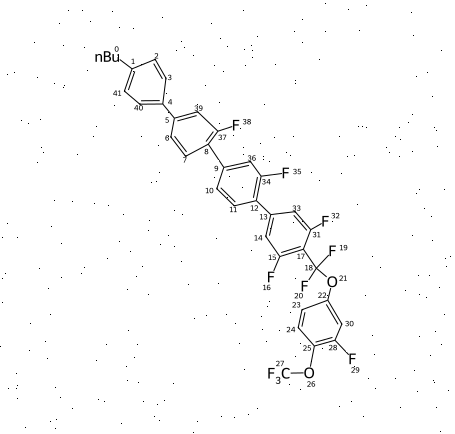 CCCCc1ccc(-c2ccc(-c3ccc(-c4cc(F)c(C(F)(F)Oc5ccc(OC(F)(F)F)c(F)c5)c(F)c4)c(F)c3)c(F)c2)cc1